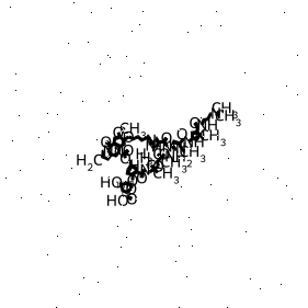 C=C1CC2CN(C(=O)OCc3ccc(O[C@H]4C[C@@H](O)C[C@@H](C(=O)O)O4)c(C(=O)NCC(C)(C)OCC(C)(C)ON)c3)c3cc(OCCCCn4cc(C(=O)Nc5cc(C(=O)Nc6cc(C(=O)NCCCN(C)C)n(C)c6)n(C)c5)cn4)c(OC)cc3C(=O)N2C1